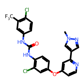 Cn1cc(-c2cc(Oc3ccc(NC(=O)Nc4ccc(Cl)c(C(F)(F)F)c4)c(Cl)c3)ccn2)cn1